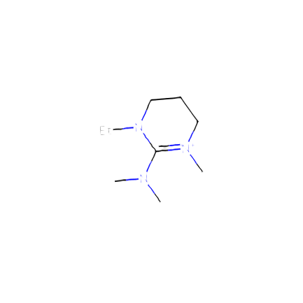 CCN1CCC[N+](C)=C1N(C)C